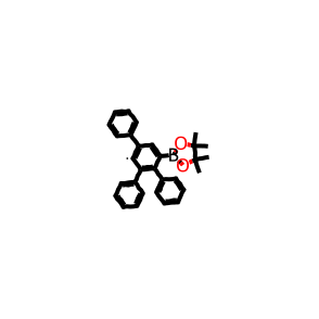 CC1(C)OB(c2cc(-c3ccccc3)[c]c(-c3ccccc3)c2-c2ccccc2)OC1(C)C